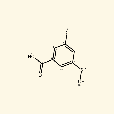 O=C(O)c1cc(Cl)cc(SO)c1